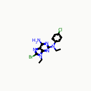 CCN(c1ccc(Cl)cc1)c1nc(N)c2nc(Br)n(CC)c2n1